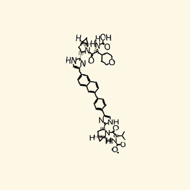 COC(=O)N[C@H](C(=O)N1[C@@H]2C[C@H]2C[C@H]1c1nc(-c2ccc(-c3ccc4cc(-c5c[nH]c([C@@H]6C[C@H]7C[C@H]7N6C(=O)[C@@H](NC(=O)O)C6CCOCC6)n5)ccc4c3)cc2)c[nH]1)C(C)C